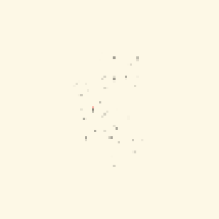 CC1(C)c2cc(N(c3ccc4c(c3)-c3ccccc3C4(c3ccccc3)c3ccccc3)c3ccccc3-c3ccc(-c4ccccc4)cc3)ccc2-c2ccc(-n3c4ccccc4c4ccccc43)cc21